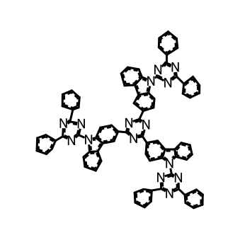 c1ccc(-c2nc(-c3ccccc3)nc(-n3c4ccccc4c4cc(-c5nc(-c6ccc7c(c6)c6ccccc6n7-c6nc(-c7ccccc7)nc(-c7ccccc7)n6)nc(-c6ccc7c(c6)c6ccccc6n7-c6nc(-c7ccccc7)nc(-c7ccccc7)n6)n5)ccc43)n2)cc1